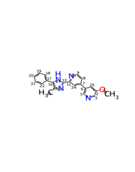 COc1cncc(-c2ccnc(-c3nc(C)c(-c4ccccc4)[nH]3)c2)c1